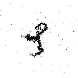 CCCCC/C=C\C/C=C\C/C=C\CCCCCCC(=O)OC[C@H](COP(=O)(O)OC[C@H](N)C(=O)O)OC(=O)CCCC/C=C\C/C=C\C/C=C\CCCCC